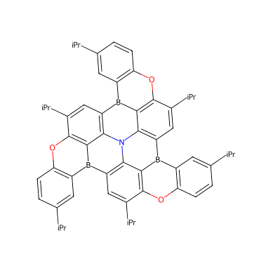 CC(C)c1ccc2c(c1)B1c3cc(C(C)C)c4c5c3N3c6c(cc(C(C)C)c(c61)O2)B1c2cc(C(C)C)ccc2Oc2c(C(C)C)cc(c3c21)B5c1cc(C(C)C)ccc1O4